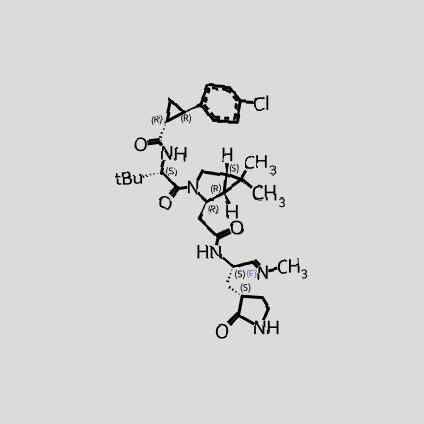 C/N=C/[C@H](C[C@@H]1CCNC1=O)NC(=O)C[C@@H]1[C@@H]2[C@H](CN1C(=O)[C@@H](NC(=O)[C@@H]1C[C@H]1c1ccc(Cl)cc1)C(C)(C)C)C2(C)C